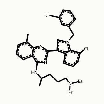 CCN(CC)CCCC(C)Nc1nc(-c2cn(Cc3cccc(Cl)c3)c3c(Cl)cccc23)nc2c(C)cccc12